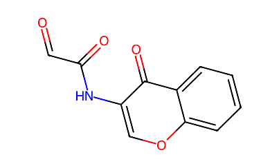 O=CC(=O)Nc1coc2ccccc2c1=O